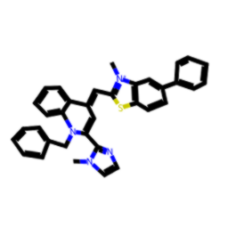 Cn1ccnc1C1=CC(=Cc2sc3ccc(-c4ccccc4)cc3[n+]2C)c2ccccc2N1Cc1ccccc1